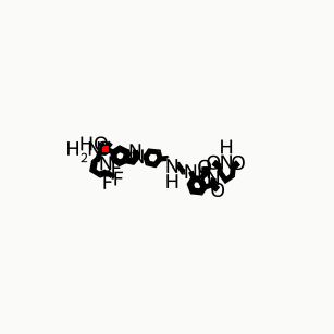 CC(C)(O)c1cc2nn(C3CCC(CNCCNc4cccc5c4C(=O)N(C4CCC(=O)NC4=O)C5=O)CC3)cc2cc1N1C(C(F)(F)F)=CC=CC1C(N)=O